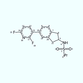 CC(C)S(=O)(=O)NC1Cc2ccc(-c3ccc(F)nc3F)cc2C1